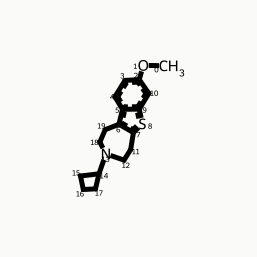 COc1ccc2c3c(sc2c1)CCN(C1CCC1)CC3